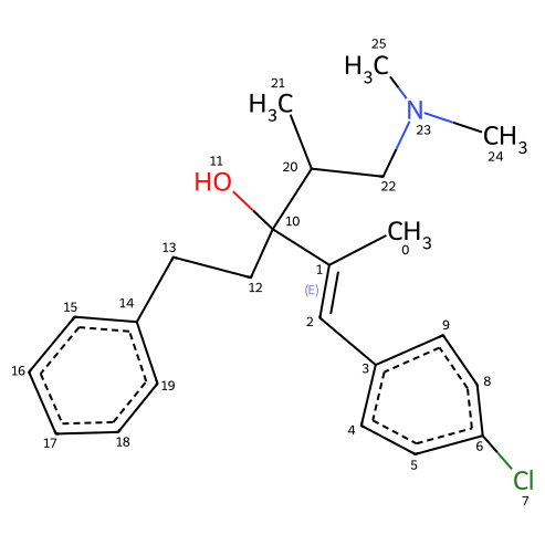 C/C(=C\c1ccc(Cl)cc1)C(O)(CCc1ccccc1)C(C)CN(C)C